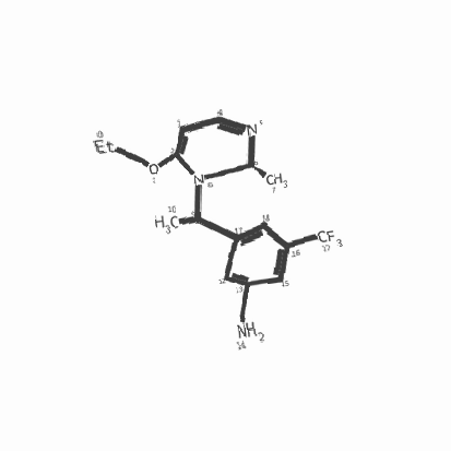 CCOC1=CC=N[C@@H](C)N1C(C)c1cc(N)cc(C(F)(F)F)c1